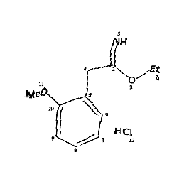 CCOC(=N)Cc1ccccc1OC.Cl